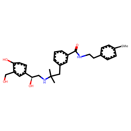 CSc1ccc(CCNC(=O)c2cccc(CC(C)(C)NC[C@@H](O)c3ccc(O)c(CO)c3)c2)cc1